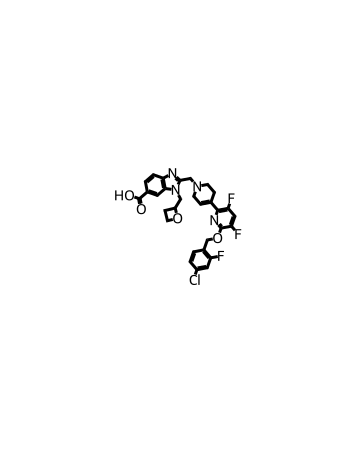 O=C(O)c1ccc2nc(CN3CC=C(c4nc(OCc5ccc(Cl)cc5F)c(F)cc4F)CC3)n(CC3CCO3)c2c1